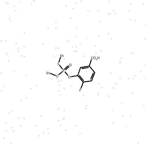 CCOP(=O)(Oc1cc(C(=O)O)ccc1F)SCC